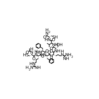 CC(=O)N[C@@H](CS)C(=O)N[C@@H](CCCNC(=N)N)C(=O)N[C@@H](Cc1ccccc1)C(=O)N[C@@H](Cc1ccccc1)C(=O)N[C@@H](CCCNC(=N)N)C(=O)N[C@@H](CO)C(=O)N[C@H](C(=O)N[C@@H](CS)C(N)=O)C(C)C